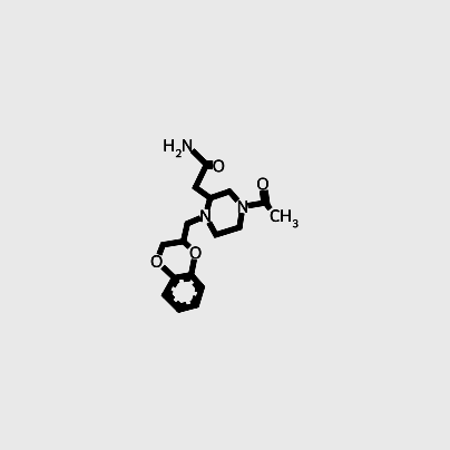 CC(=O)N1CCN(CC2COc3ccccc3O2)C(CC(N)=O)C1